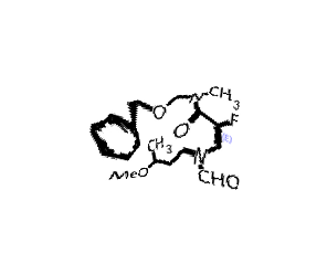 COC(C)CCN(C=O)/C=C(/F)C(=O)N(C)COCc1ccccc1